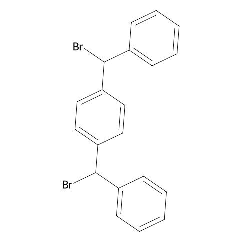 BrC(c1ccccc1)c1ccc(C(Br)c2ccccc2)cc1